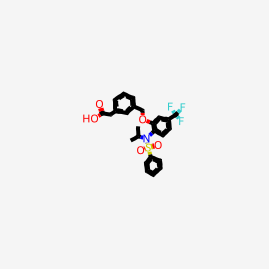 CC(C)N(c1ccc(C(F)(F)F)cc1OCc1cccc(CC(=O)O)c1)S(=O)(=O)c1ccccc1